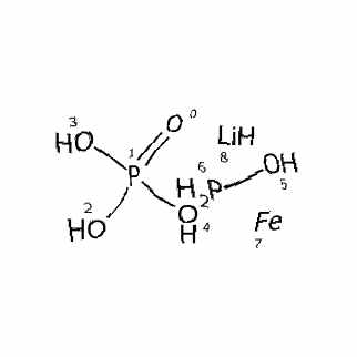 O=P(O)(O)O.OP.[Fe].[LiH]